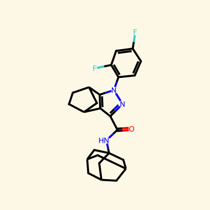 O=C(NC12CC3CC(CC(C3)C1)C2)c1nn(-c2ccc(F)cc2F)c2c1C1CCC2C1